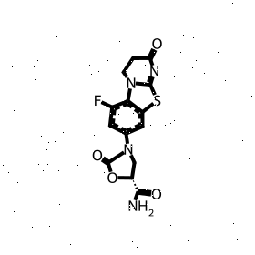 NC(=O)[C@H]1CN(c2cc(F)c3c(c2)SC2=NC(=O)CCN23)C(=O)O1